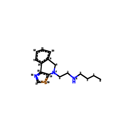 CCCCNCCN1Cc2ccccc2-c2ncsc21